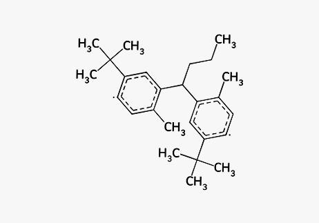 CCCC(c1cc(C(C)(C)C)[c]cc1C)c1cc(C(C)(C)C)[c]cc1C